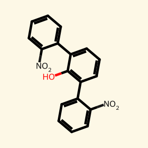 O=[N+]([O-])c1ccccc1-c1cccc(-c2ccccc2[N+](=O)[O-])c1O